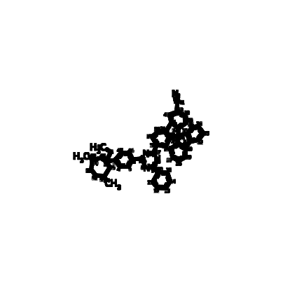 CCC1(c2ccc(-c3nc(-c4ccccc4)nc(-c4ccc5c(c4)C4(c6ccccc6-c6ccccc64)c4ccc(C#N)cc4-5)n3)cc2)C[C@H](C)CC[C@H](C)C1